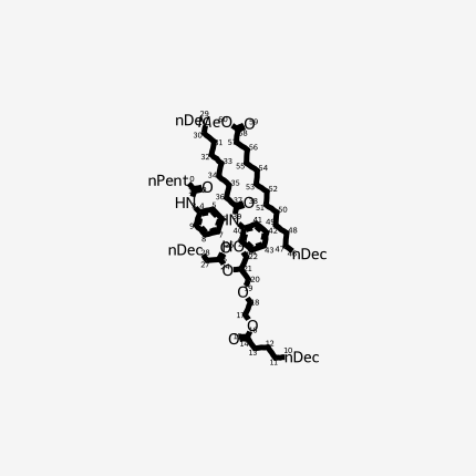 CCCCCC(=O)Nc1ccccc1.CCCCCCCCCCCCCC(=O)OCCOCC(CO)OC(=O)CCCCCCCCCCC.CCCCCCCCCCCCCCCCCC(=O)Nc1ccccc1.CCCCCCCCCCCCCCCCCCCCCC(=O)OC